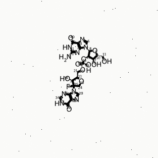 Nc1nc2c(ncn2[C@@H]2O[C@H](CO)[C@@H](O)[C@H]2OP(=O)(O)OC[C@H]2OCC(F)(n3cnc4c(=O)[nH]cnc43)[C@@H]2O)c(=O)[nH]1